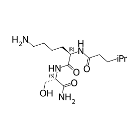 CC(C)CCC(=O)N[C@H](CCCCN)C(=O)N[C@@H](CO)C(N)=O